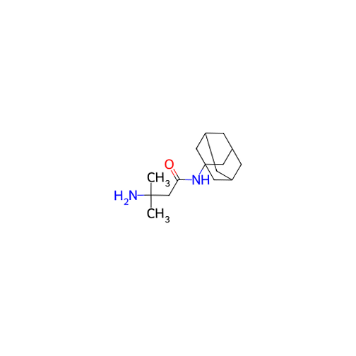 CC(C)(N)CC(=O)NC12CC3CC(CC(C3)C1)C2